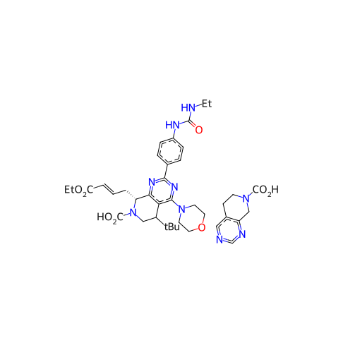 CCNC(=O)Nc1ccc(-c2nc3c(c(N4CCOCC4)n2)C(C(C)(C)C)CN(C(=O)O)[C@@H]3C/C=C/C(=O)OCC)cc1.O=C(O)N1CCc2cncnc2C1